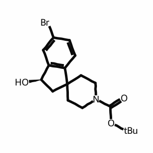 CC(C)(C)OC(=O)N1CCC2(CC1)C[C@@H](O)c1cc(Br)ccc12